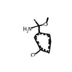 COC(C)(N)c1cccc(Cl)c1